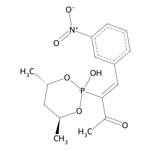 CC(=O)C(=Cc1cccc([N+](=O)[O-])c1)[P]1(O)O[C@@H](C)C[C@H](C)O1